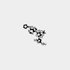 CC1(C)O[C@@H]2[C@H](O1)[C@@H](c1cc(C(C)(C)C)n[nH]1)O[C@H]2n1cnc2c(NC3CCCC3)ncnc21